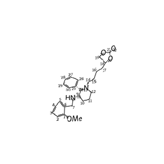 COc1ccccc1CN[C@H]1CCCN(CCCCC2COC(=O)O2)[C@H]1c1ccccc1